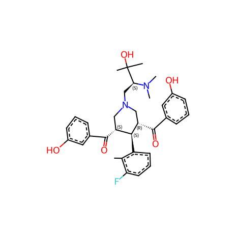 Cc1c(F)cccc1[C@@H]1[C@@H](C(=O)c2cccc(O)c2)CN(C[C@H](N(C)C)C(C)(C)O)C[C@H]1C(=O)c1cccc(O)c1